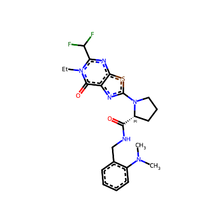 CCn1c(C(F)F)nc2sc(N3CCC[C@@H]3C(=O)NCc3ccccc3N(C)C)nc2c1=O